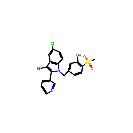 CCc1c(-c2cccnc2)n(Cc2ccc(S(C)(=O)=O)c(C#N)c2)c2ccc(Cl)cc12